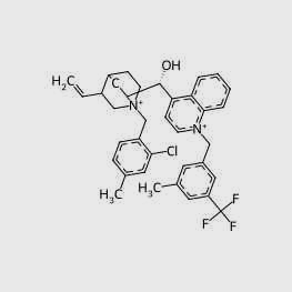 C=CC1C[N+]2(Cc3ccc(C)cc3Cl)CCC1CC2[C@H](O)c1cc[n+](Cc2cc(C)cc(C(F)(F)F)c2)c2ccccc12